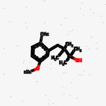 CCCCOc1ccc(OC(C)=O)c(CC(C)(C)[Si](C)(C)O)c1